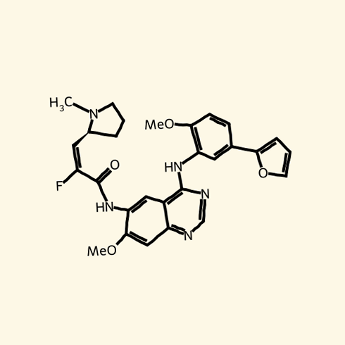 COc1cc2ncnc(Nc3cc(-c4ccco4)ccc3OC)c2cc1NC(=O)/C(F)=C\[C@@H]1CCCN1C